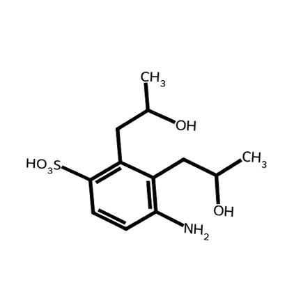 CC(O)Cc1c(N)ccc(S(=O)(=O)O)c1CC(C)O